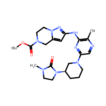 CN1CCN([C@@H]2CCCN(c3cnc(C#N)c(Nc4cc5n(n4)CCN(C(=O)OC(C)(C)C)C5)n3)C2)C1=O